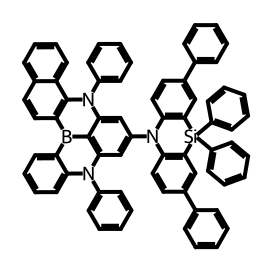 c1ccc(-c2ccc3c(c2)[Si](c2ccccc2)(c2ccccc2)c2cc(-c4ccccc4)ccc2N3c2cc3c4c(c2)N(c2ccccc2)c2c(ccc5ccccc25)B4c2ccccc2N3c2ccccc2)cc1